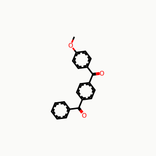 COc1ccc(C(=O)c2ccc(C(=O)c3ccccc3)cc2)cc1